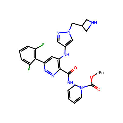 CC(C)(C)OC(=O)N1C=CC=CC1.NC(=O)c1nnc(-c2c(F)cccc2F)cc1Nc1cnn(CC2CNC2)c1